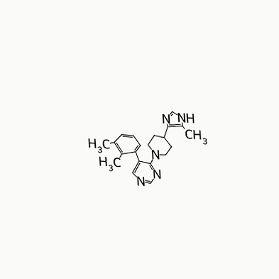 Cc1cccc(-c2cncnc2N2CCC(c3nc[nH]c3C)CC2)c1C